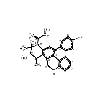 CC1c2c(cc(-c3ccc(Cl)cc3)c3c2COc2ccccc2-3)N(C(=O)OC(C)(C)C)C(C)(C)[C@H]1O